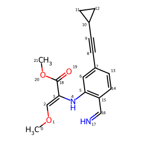 CO/C=C(\Nc1cc(C#CC2CC2)ccc1C=N)C(=O)OC